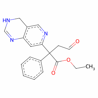 CCOC(=O)C(CC=O)(c1ccccc1)c1cc2c(cn1)CNC=N2